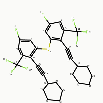 Fc1cc(Sc2cc(F)cc(C(F)(F)F)c2C#CC2CCCCC2)c(C#CC2CCCCC2)c(C(F)(F)F)c1